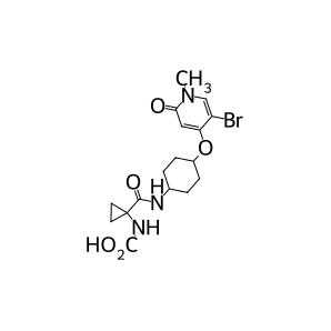 Cn1cc(Br)c(OC2CCC(NC(=O)C3(NC(=O)O)CC3)CC2)cc1=O